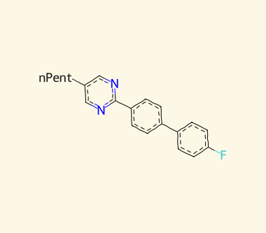 CCCCCc1cnc(-c2ccc(-c3ccc(F)cc3)cc2)nc1